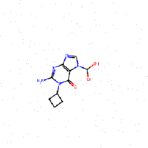 Nc1nc2ncn(C(O)O)c2c(=O)n1C1CCC1